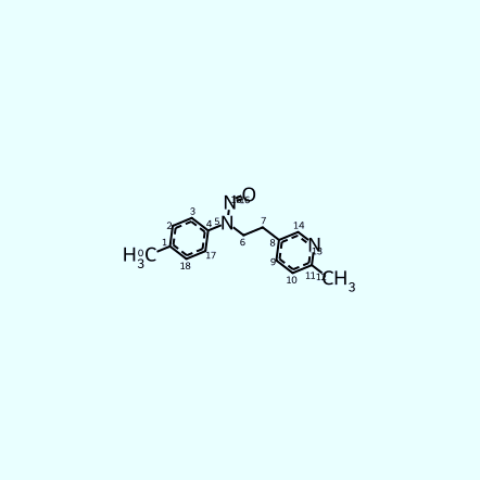 Cc1ccc(N(CCc2ccc(C)nc2)N=O)cc1